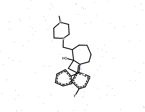 CN1CCN(CC2CCCC/C(=C/c3ccccc3)C2(O)Cc2cccc(F)c2)CC1